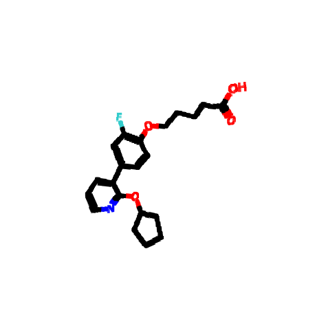 O=C(O)CCCCOc1ccc(-c2cccnc2OC2CCCC2)cc1F